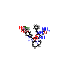 NC(=O)CC[C@H](NC(=O)[C@@H]1CC[C@@H]2CCCC[C@H](NC(=O)c3cc4cc(C(F)(F)P(=O)(O)O)ccc4[nH]3)C(=O)N21)C(=O)NCc1ccccc1